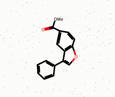 COC(=O)c1ccc2occ(-c3ccccc3)c2c1